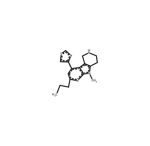 CCCc1cc(-c2cscn2)c2c3c(n(C)c2n1)CCNC3